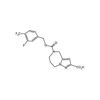 O=C(O)c1cc2n(n1)CCCN(C(=O)OCc1ccc(C(F)(F)F)c(F)c1)C2